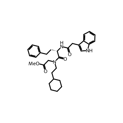 COC(=O)CN(CCC1CCCCC1)C(=O)[C@H](CCc1ccccc1)NC(=O)Cc1c[nH]c2ccccc12